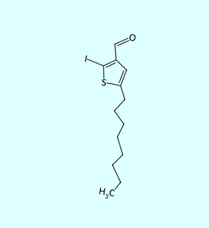 CCCCCCCCc1cc(C=O)c(I)s1